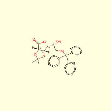 CC1(C)O[C@H]2[C@@H]([C@H](O)COC(c3ccccc3)(c3ccccc3)c3ccccc3)OC(=O)[C@H]2O1